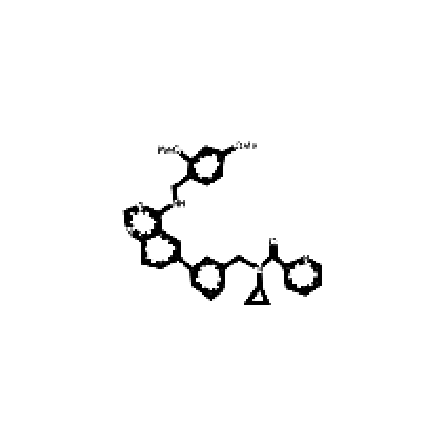 COc1ccc(CNc2ncnc3ccc(-c4cccc(CN(C(=O)c5ccccn5)C5CC5)c4)cc23)c(OC)c1